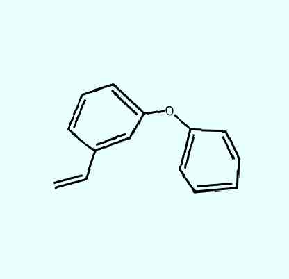 C=Cc1cccc(Oc2ccccc2)c1